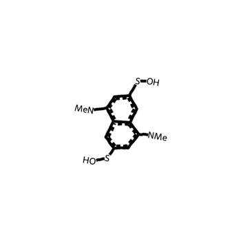 CNc1cc(SO)cc2c(NC)cc(SO)cc12